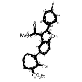 CCOC(=O)c1cccc(-c2ccc3oc(-c4ccc(F)cc4)c(C(=O)NC)c3c2)c1F